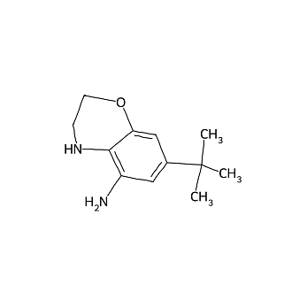 CC(C)(C)c1cc(N)c2c(c1)OCCN2